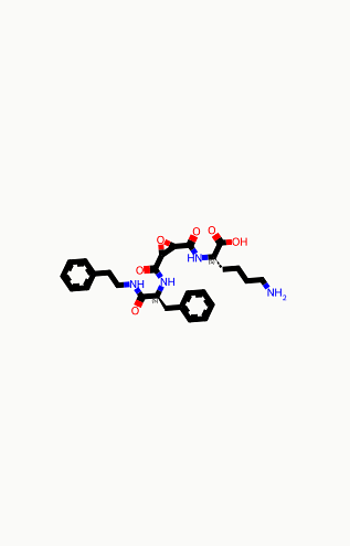 NCCCC[C@H](NC(=O)C1OC1C(=O)N[C@@H](Cc1ccccc1)C(=O)NCCc1ccccc1)C(=O)O